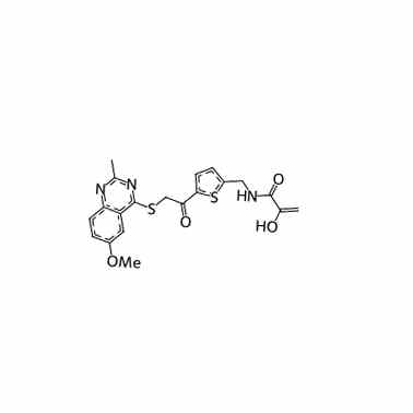 C=C(O)C(=O)NCc1ccc(C(=O)CSc2nc(C)nc3ccc(OC)cc23)s1